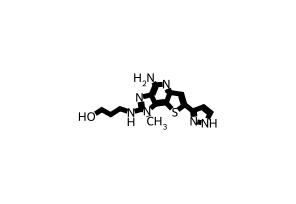 Cn1c(NCCCO)nc2c(N)nc3cc(-c4cc[nH]n4)sc3c21